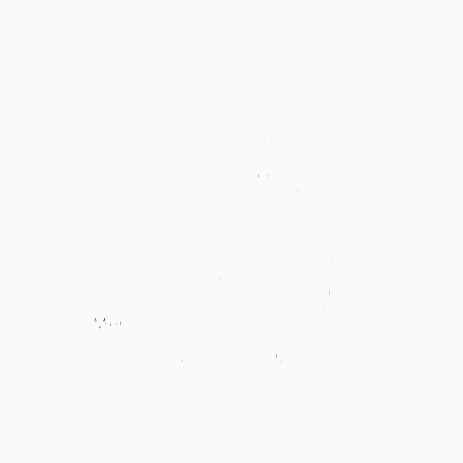 C=CCOc1cccc2oc(C(=O)c3ccc(OC)cc3)c(C)c12